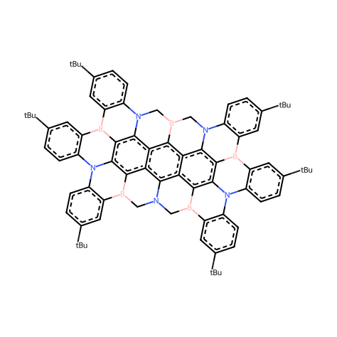 CC(C)(C)c1ccc2c(c1)B1c3cc(C(C)(C)C)ccc3N3c4ccc(C(C)(C)C)cc4B4CN5CB6c7cc(C(C)(C)C)ccc7N7c8ccc(C(C)(C)C)cc8B8c9cc(C(C)(C)C)ccc9N9CB%10CN2c2c1c3c4c1c5c3c6c7c8c9c3c%10c21